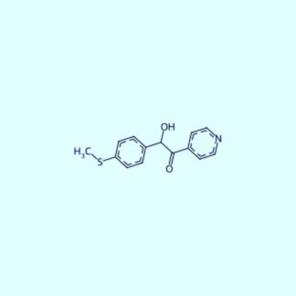 CSc1ccc(C(O)C(=O)c2ccncc2)cc1